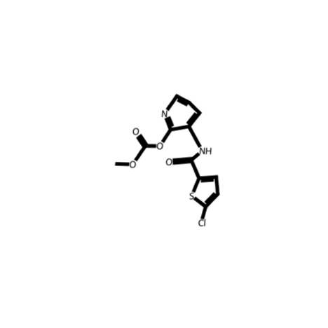 COC(=O)Oc1ncccc1NC(=O)c1ccc(Cl)s1